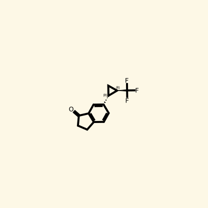 O=C1CCc2ccc([C@@H]3C[C@H]3C(F)(F)F)cc21